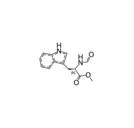 COC(=O)[C@@H](Cc1c[nH]c2ccccc12)NC=O